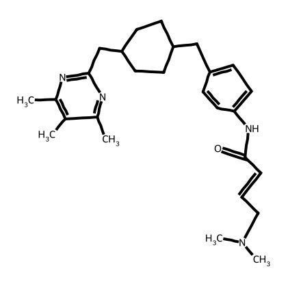 Cc1nc(CC2CCC(Cc3ccc(NC(=O)/C=C/CN(C)C)cc3)CC2)nc(C)c1C